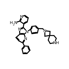 Nc1ncccc1-c1nc2ccc(-c3ccccc3)nc2n1-c1ccc(CN2CC3(CCNCC3)C2)cc1